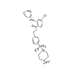 O=C(CCc1ccc(S(=O)(=O)N2CCC(O)CC2)cc1)c1ccc(Cl)cc1Nc1ccccc1